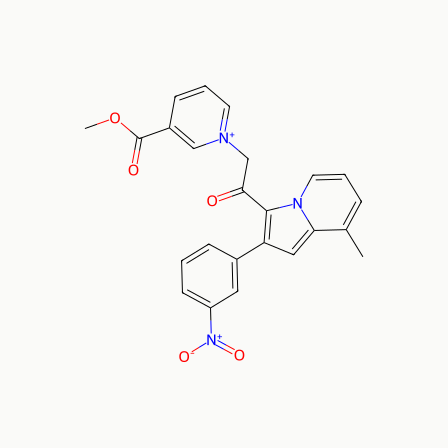 COC(=O)c1ccc[n+](CC(=O)c2c(-c3cccc([N+](=O)[O-])c3)cc3c(C)cccn23)c1